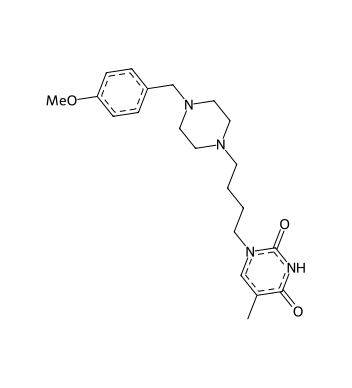 COc1ccc(CN2CCN(CCCCn3cc(C)c(=O)[nH]c3=O)CC2)cc1